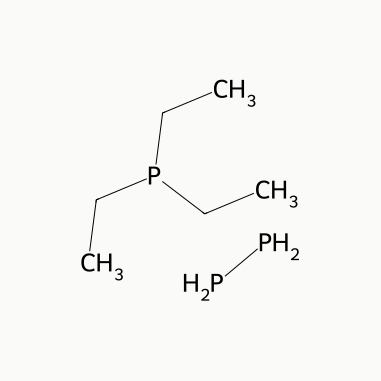 CCP(CC)CC.PP